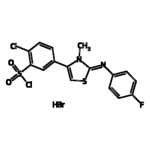 Br.Cn1c(-c2ccc(Cl)c(S(=O)(=O)Cl)c2)csc1=Nc1ccc(F)cc1